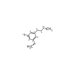 C=Cc1cc(I)cc(CCCC)c1